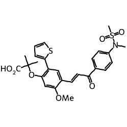 COc1cc(OC(C)(C)C(=O)O)c(-c2cccs2)cc1C=CC(=O)c1ccc(N(C)S(C)(=O)=O)cc1